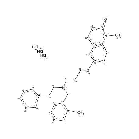 Cc1cnccc1CN(CCCOc1ccc2c(ccc(=O)n2C)c1)CCc1cccnc1.Cl.Cl.Cl